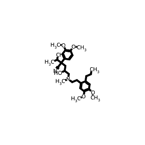 CCCc1cc(OC)c(OC)cc1CCN(C)CC(O)CC(C#N)(c1ccc(OC)c(OC)c1)C(C)C